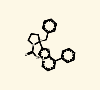 O=C(O)N1CCC[C@]1(Cc1ccccc1)c1cn2cccc(-c3ccccc3)c2n1